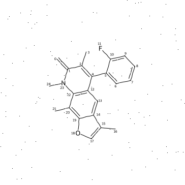 C=C1C(C)=C(c2ccccc2F)c2cc3c(C)coc3c(C)c2N1C